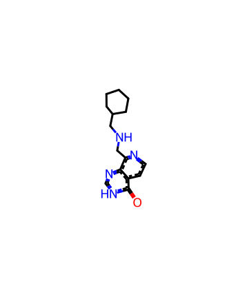 O=c1[nH]cnc2c(CNCC3CCCCC3)nccc12